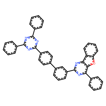 c1ccc(-c2nc(-c3ccccc3)nc(-c3ccc(-c4cccc(-c5nc(-c6ccccc6)c6oc7ccccc7c6n5)c4)cc3)n2)cc1